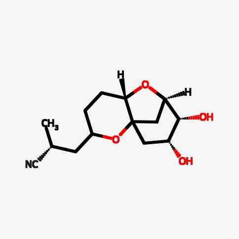 C[C@@H](C#N)CC1CC[C@@H]2O[C@@H]3CC2(C[C@@H](O)[C@H]3O)O1